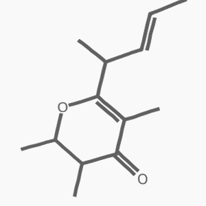 CC=CC(C)C1=C(C)C(=O)C(C)C(C)O1